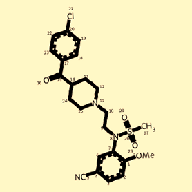 COc1ccc(C#N)cc1N(CCN1CCC(C(=O)c2ccc(Cl)cc2)CC1)S(C)(=O)=O